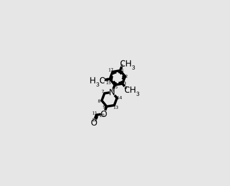 Cc1cc(C)c(N2CCC(OC=O)CC2)c(C)c1